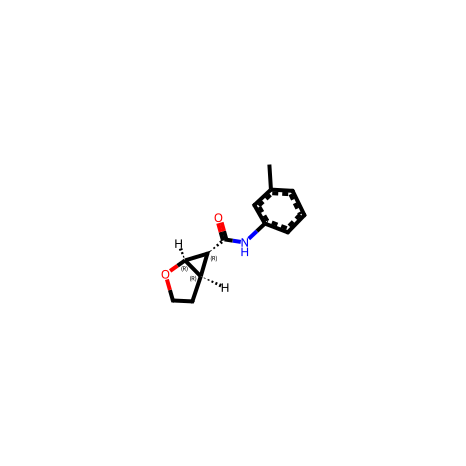 Cc1cccc(NC(=O)[C@@H]2[C@H]3CCO[C@H]32)c1